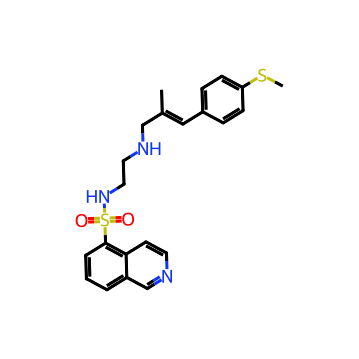 CSc1ccc(C=C(C)CNCCNS(=O)(=O)c2cccc3cnccc23)cc1